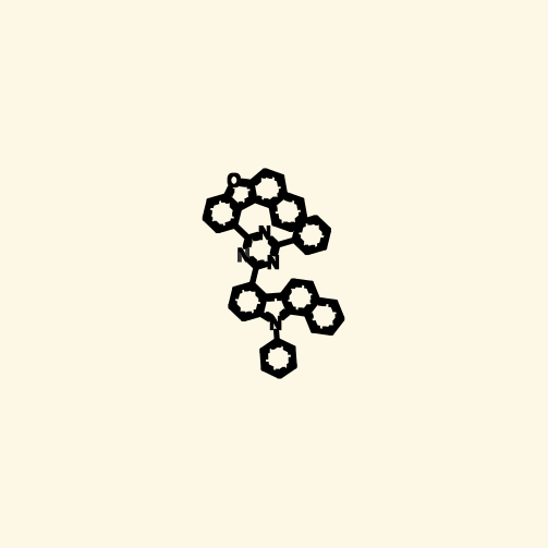 c1ccc(-c2nc(-c3cccc4oc5ccc6ccccc6c5c34)nc(-c3cccc4c3c3ccc5ccccc5c3n4-c3ccccc3)n2)cc1